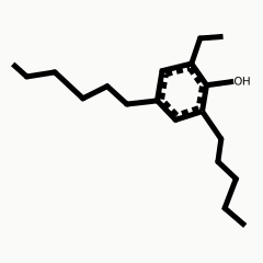 CCCCCCc1cc(CC)c(O)c(CCCCC)c1